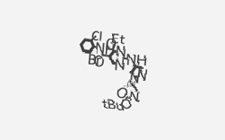 CCOc1nc(Nc2cnn([C@@H](C)CN(C)C(=O)OC(C)(C)C)c2)ncc1C(=O)Nc1c(Cl)cccc1Br